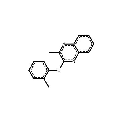 Cc1ccccc1Oc1nc2ccccc2nc1C